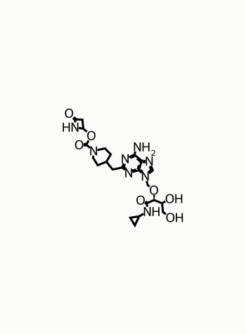 Nc1nc(CC2CCN(C(=O)OC3CC(=O)N3)CC2)nc2c1ncn2CO[C@H](C(=O)NC1CC1)C(O)CO